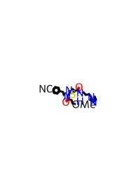 COCCC(=O)N(CCc1ccc(C#N)cc1)c1ncc(C(=O)NCCCn2ccnc2)s1